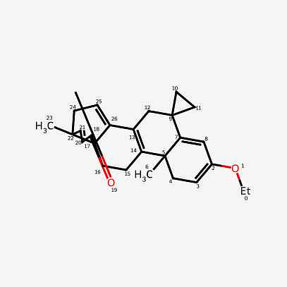 CCOC1=CCC2(C)C(=C1)C1(CC1)CC1=C2CCC23C(=O)C=CC2(C)CC=C13